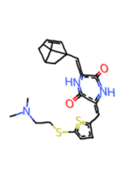 CN(C)CCSc1ccc(C=c2[nH]c(=O)c(=CC34C=CCC(C3)C4(C)C)[nH]c2=O)s1